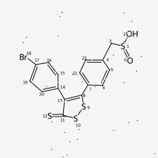 O=S(O)Cc1ccc(-c2ssc(=S)c2-c2ccc(Br)cc2)cc1